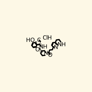 Cl.O=C(O)C[C@H](NC(=O)[C@H]1CCCN(C(=O)CCc2ccc3c(n2)NCCC3)C1)c1ccccc1